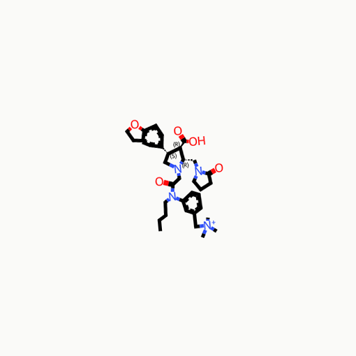 CCCCN(C(=O)CN1C[C@H](c2ccc3c(c2)CCO3)[C@@H](C(=O)O)[C@@H]1CN1CCCC1=O)c1cccc(C[N+](C)(C)C)c1